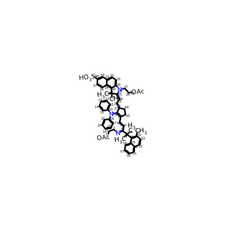 CC(=O)OCC/N=C(\C=C\C1=C(N(c2ccccc2)c2ccccc2)C(=C/C=C2/N(CCOC(C)=O)c3ccc4cc(S(=O)(=O)O)ccc4c3C2(C)C)/CC1)C(C)(C)c1c(C)ccc2ccccc12